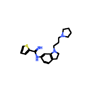 N=C(Nc1ccc2c(c1)N(CCCN1CCCC1)CC2)c1cccs1